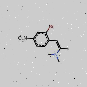 CC(=Cc1ccc([N+](=O)[O-])cc1Br)N(C)C